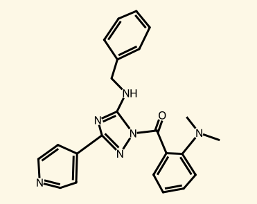 CN(C)c1ccccc1C(=O)n1nc(-c2ccncc2)nc1NCc1ccccc1